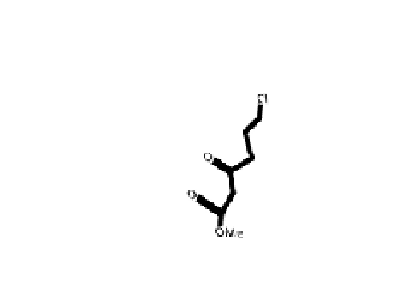 COC(=O)CC(=O)CCCCl